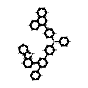 c1ccc(-c2ccc(-c3ccc(N(c4ccccc4)c4ccc(-c5cc6ccccc6c6ccccc56)cc4)cc3)cc2-c2cccc3c2oc2ccccc23)cc1